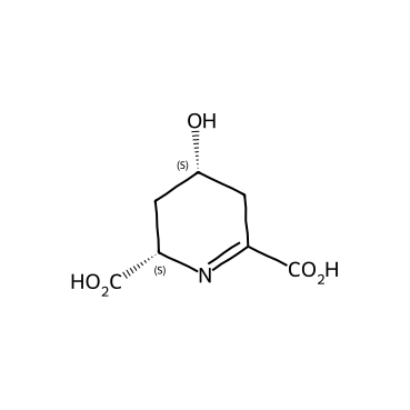 O=C(O)C1=N[C@H](C(=O)O)C[C@H](O)C1